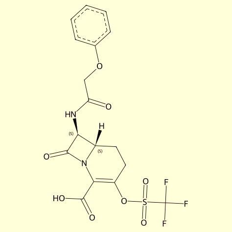 O=C(COc1ccccc1)N[C@@H]1C(=O)N2C(C(=O)O)=C(OS(=O)(=O)C(F)(F)F)CC[C@@H]12